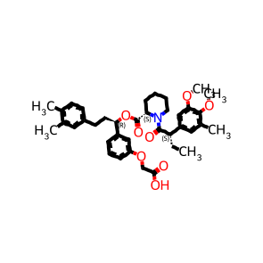 CC[C@H](C(=O)N1CCCC[C@H]1C(=O)O[C@H](CCc1ccc(C)c(C)c1)c1cccc(OCC(=O)O)c1)c1cc(C)c(OC)c(OC)c1